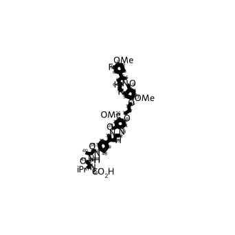 COc1ccc(C2=CN3C(=O)c4cc(OC)c(OCCCOc5cc6c(cc5OC)C(=O)N5C=C(c7ccc(NC(=O)C(C)NC(=O)C(NC(=O)O)C(C)C)cc7)C[C@H]5C=N6)cc4N=C[C@@H]3C2)cc1F